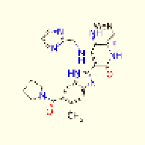 CN/C=C1/NC(=O)C(c2nc3cc(C)c(C(=O)N4CCCC4)cc3[nH]2)=C(NCc2ncccn2)C1=N